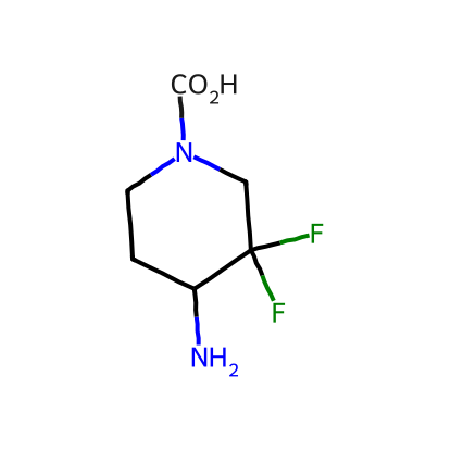 NC1CCN(C(=O)O)CC1(F)F